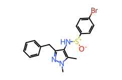 Cc1c(N[S+]([O-])c2ccc(Br)cc2)c(Cc2ccccc2)nn1C